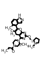 C=CC(=O)N1CCN(c2nc(OC[C@@H]3CCCN3C)nc3c2CC(C)=C(c2c(C)ccc4[nH]ncc24)O3)[C@@H](C)C1